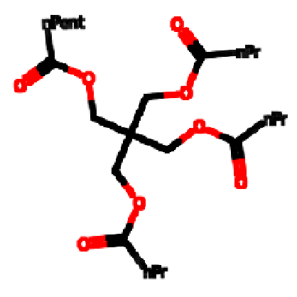 CCCCCC(=O)OCC(COC(=O)CCC)(COC(=O)CCC)COC(=O)CCC